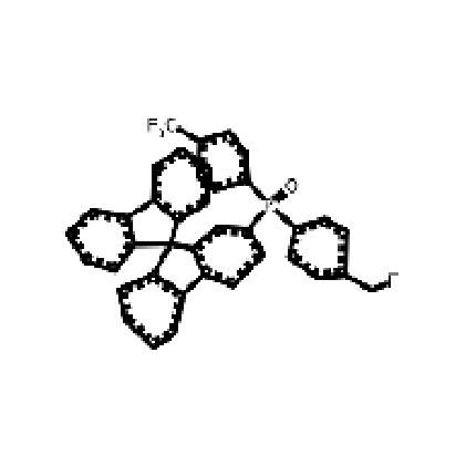 O=P(c1ccc(CF)cc1)(c1ccc(C(F)(F)F)cc1)c1ccc2c(c1)C1(c3ccccc3-c3ccccc31)c1ccccc1-2